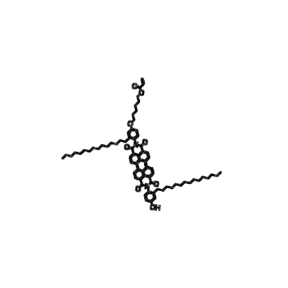 C=CC(=O)OCCCCCCOc1ccc(N2C(=O)c3ccc4c5ccc6c7c(ccc(c8ccc(c3c48)C2=O)c75)C(=O)N(c2ccc(O)cc2CCCCCCCCCCCCCCC)C6=O)c(CCCCCCCCCCCCCCC)c1